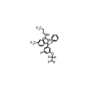 O=C(NCCC(F)(F)F)N[C@](Cc1ccccc1)(c1ccc(C(F)(F)F)cc1)c1cc(F)cc(OC(F)(F)C(F)F)c1